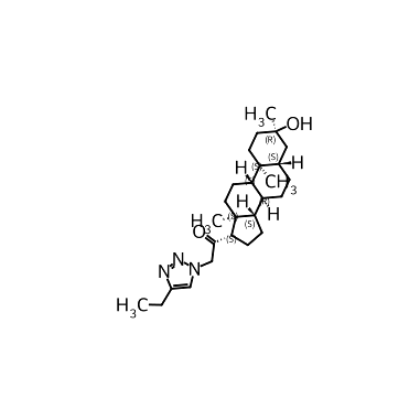 CCc1cn(CC(=O)[C@H]2CC[C@H]3[C@@H]4CC[C@H]5C[C@](C)(O)CC[C@]5(C)[C@H]4CC[C@]23C)nn1